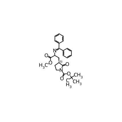 COC(=O)C(C[C@@H]1CCN(C(=O)OC(C)(C)C)C1=O)N=C(c1ccccc1)c1ccccc1